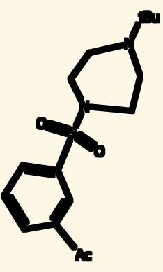 CC(=O)c1cccc(S(=O)(=O)N2CCN(C(C)(C)C)CC2)c1